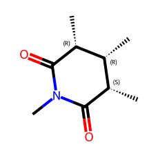 C[C@@H]1[C@H](C)C(=O)N(C)C(=O)[C@@H]1C